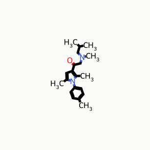 Cc1ccc(-n2c(C)cc(C(=O)CN(C)CC(C)C)c2C)cc1